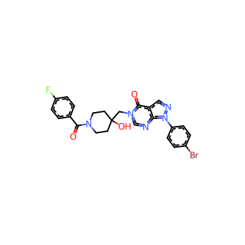 O=C(c1ccc(F)cc1)N1CCC(O)(Cn2cnc3c(cnn3-c3ccc(Br)cc3)c2=O)CC1